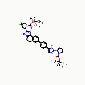 CC(C)(C)OC(=O)N1CCC[C@H]1c1ncc(-c2ccc(-c3ccc4c(c3)CCc3[nH]c([C@@H]5CC(F)(F)CN5C(=O)OC(C)(C)C)nc3-4)cc2)[nH]1